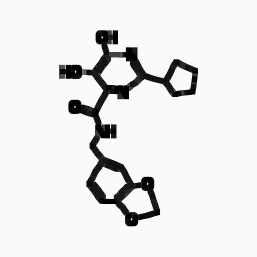 O=C(NCc1ccc2c(c1)OCO2)c1nc(C2CCCC2)nc(O)c1O